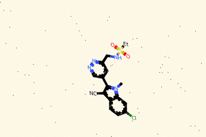 CCS(=O)(=O)NCc1cc(-c2c(C#N)c3ccc(Cl)cc3n2C)cnn1